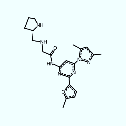 Cc1cc(C)n(-c2cc(NC(=O)CNC[C@H]3CCCN3)nc(-c3ccc(C)o3)n2)n1